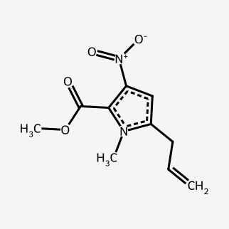 C=CCc1cc([N+](=O)[O-])c(C(=O)OC)n1C